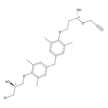 C#CCO[C@@H](O)CCOc1c(C)cc(Cc2cc(C)c(OC[C@H](O)CCl)c(C)c2)cc1C